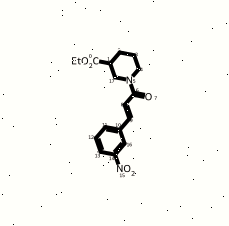 CCOC(=O)C1CCCN(C(=O)/C=C/c2cc[c]c([N+](=O)[O-])c2)C1